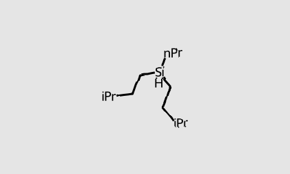 CCC[SiH](CCC(C)C)CCC(C)C